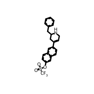 O=S(=O)(Oc1ccc2cc(C3=CCNC(Cc4ccccc4)C3)ccc2c1)C(F)(F)F